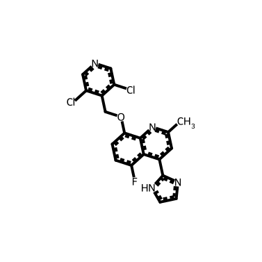 Cc1cc(-c2ncc[nH]2)c2c(F)ccc(OCc3c(Cl)cncc3Cl)c2n1